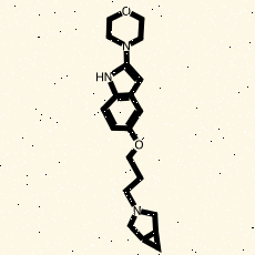 c1cc2[nH]c(N3CCOCC3)cc2cc1OCCCN1CC2CC2C1